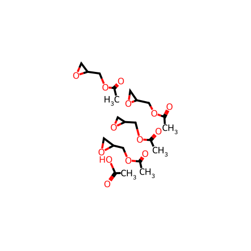 CC(=O)O.CC(=O)OCC1CO1.CC(=O)OCC1CO1.CC(=O)OCC1CO1.CC(=O)OCC1CO1